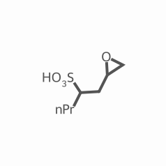 CCCC(CC1CO1)S(=O)(=O)O